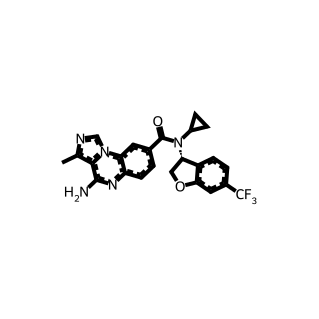 Cc1ncn2c1c(N)nc1ccc(C(=O)N(C3CC3)[C@H]3COc4cc(C(F)(F)F)ccc43)cc12